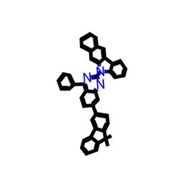 CC1(C)c2ccccc2-c2cc(-c3ccc4c(-c5ccccc5)nc(-n5c6ccccc6c6cc7ccccc7cc65)nc4c3)ccc21